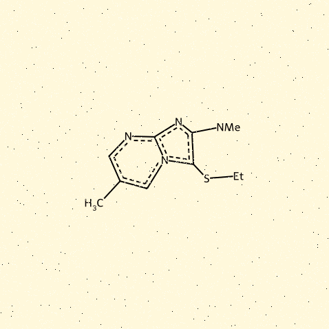 CCSc1c(NC)nc2ncc(C)cn12